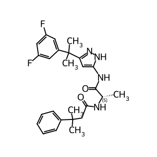 C[C@H](NC(=O)CC(C)(C)c1ccccc1)C(=O)Nc1cc(C(C)(C)c2cc(F)cc(F)c2)n[nH]1